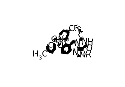 Cc1ccc(S(=O)(=O)N2CC[C@@H](C(F)(F)F)C[C@@H]2c2ccccc2CN2C(=C=S)NC(=O)c3[nH]cnc32)cc1